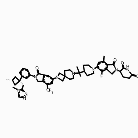 Cc1cc(N2CCC(C(C)(C)N3CCC4(CC3)CN(c3cc5c(c(C(F)(F)F)c3)CN(c3cccc([C@]6(Cc7nncn7C)C[C@@H](C)C6)c3)C5=O)C4)CC2)c(F)c2c1C(=O)N(C1CCC(=O)NC1=O)C2